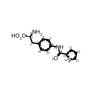 N[C@@H](Cc1ccc(NC(=O)c2cccs2)cc1)C(=O)O